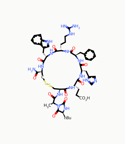 CCCC[C@@H]1NC(=O)N([C@@H](C)C(=O)N[C@H]2CSSC[C@@H](C(N)=O)NC(=O)[C@H](Cc3c[nH]c4ccccc34)NC(=O)[C@H](CCCNC(=N)N)NC(=O)[C@@H](Cc3ccccc3)NC(=O)[C@H](Cc3cnc[nH]3)NC(=O)[C@H](CCC(=O)O)NC2=O)C1=O